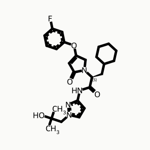 CC(C)(O)Cn1ccc(NC(=O)[C@H](CC2CCCCC2)N2CC(Oc3cccc(F)c3)=CC2=O)n1